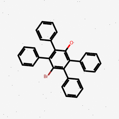 [O]c1c(-c2ccccc2)c(-c2ccccc2)c(Br)c(-c2ccccc2)c1-c1ccccc1